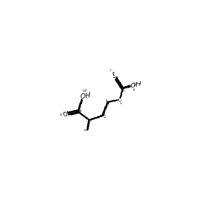 CC(CCOC(O)=S)C(=O)O